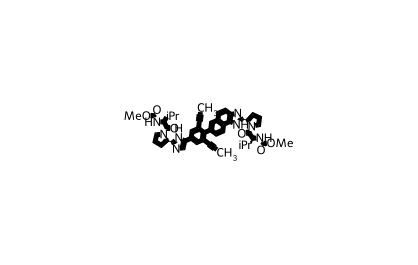 CC#Cc1cc(-c2cnc([C@@H]3CCCN3C(=O)C(NC(=O)OC)C(C)C)[nH]2)cc(C#CC)c1-c1ccc2c(ccc3nc([C@@H]4CCCN4C(=O)[C@@H](NC(=O)OC)C(C)C)[nH]c32)c1